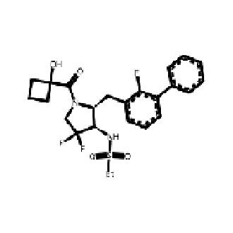 CCS(=O)(=O)N[C@@H]1[C@H](Cc2cccc(-c3ccccc3)c2F)N(C(=O)C2(O)CCC2)CC1(F)F